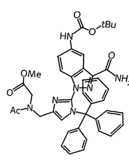 COC(=O)CN(Cc1cn(C(c2ccccc2)(c2ccccc2)c2ccccc2)c(-n2nc(C(N)=O)c3cc(NC(=O)OC(C)(C)C)ccc32)n1)C(C)=O